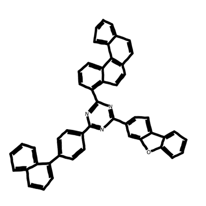 c1ccc2c(-c3ccc(-c4nc(-c5ccc6c(c5)oc5ccccc56)nc(-c5cccc6c5ccc5ccc7ccccc7c56)n4)cc3)cccc2c1